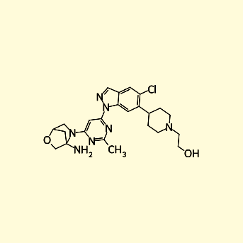 Cc1nc(N2CC3CC2(N)CO3)cc(-n2ncc3cc(Cl)c(C4CCN(CCO)CC4)cc32)n1